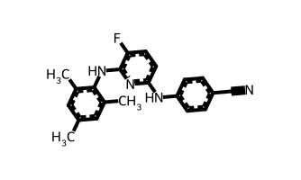 Cc1cc(C)c(Nc2nc(Nc3ccc(C#N)cc3)ccc2F)c(C)c1